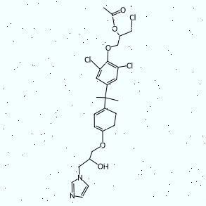 CC(=O)OC(CCl)COc1c(Cl)cc(C(C)(C)C2=CC=C(OCC(O)Cn3ccnc3)CC2)cc1Cl